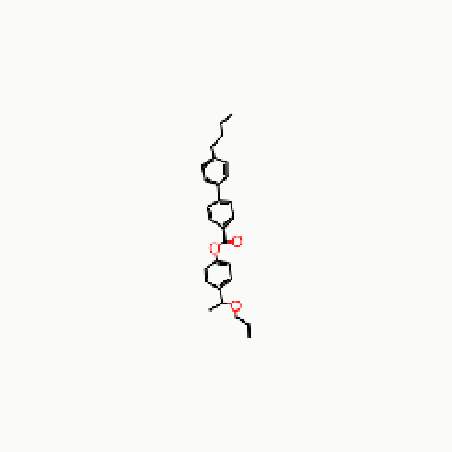 CCCCc1ccc(-c2ccc(C(=O)Oc3ccc(C(C)OCCC)cc3)cc2)cc1